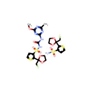 COc1nc(C)nc(NC(=O)NS(=O)(=O)c2ccsc2C2(CF)OCCO2)n1.NS(=O)(=O)c1ccsc1C1(CF)OCCO1